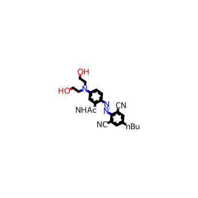 CCCCc1cc(C#N)c(/N=N/c2ccc(N(CCO)CCO)cc2NC(C)=O)c(C#N)c1